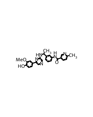 COc1cc(-c2cncc(NC(C)c3cccc(NC(=O)c4ccc(C)nc4)c3)n2)ccc1O